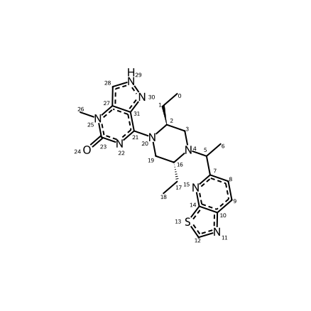 CC[C@H]1CN(C(C)c2ccc3ncsc3n2)[C@H](CC)CN1c1nc(=O)n(C)c2c[nH]nc12